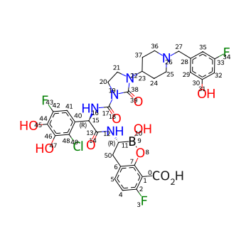 O=C(O)c1c(F)ccc2c1OB(O)[C@@H](NC(=O)[C@H](NC(=O)N1CCN(C3CCN(Cc4cc(O)cc(F)c4)CC3)C1=O)c1cc(F)c(O)c(O)c1Cl)C2